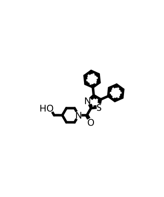 O=C(c1nc(-c2ccccc2)c(-c2ccccc2)s1)N1CCC(CO)CC1